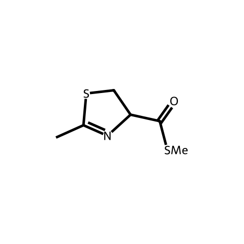 CSC(=O)C1CSC(C)=N1